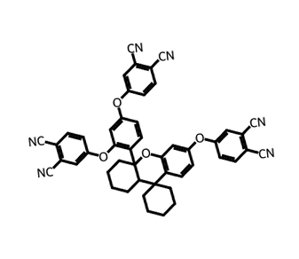 N#Cc1ccc(Oc2ccc3c(c2)OC2(c4ccc(Oc5ccc(C#N)c(C#N)c5)cc4Oc4ccc(C#N)c(C#N)c4)CCCCC2C32CCCCC2)cc1C#N